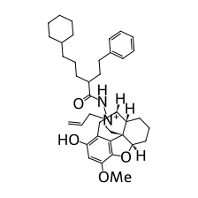 C=CC[N+]1(NC(=O)C(CCCC2CCCCC2)CCc2ccccc2)CC[C@]23c4c5c(O)cc(OC)c4O[C@H]2CCC[C@H]3[C@H]1C5